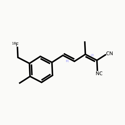 [C-]#[N+]/C(C#N)=C(C)\C=C\c1ccc(C)c(C[18F])c1